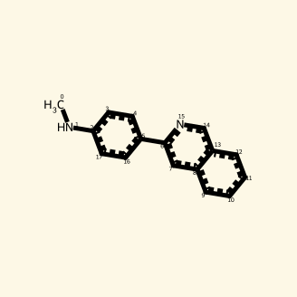 CNc1ccc(-c2cc3ccccc3cn2)cc1